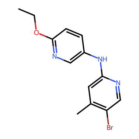 CCOc1ccc(Nc2cc(C)c(Br)cn2)cn1